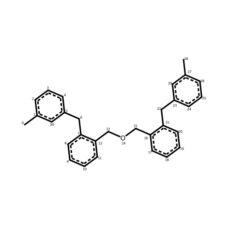 Cc1cccc(Cc2ccccc2COCc2ccccc2Cc2cccc(C)c2)c1